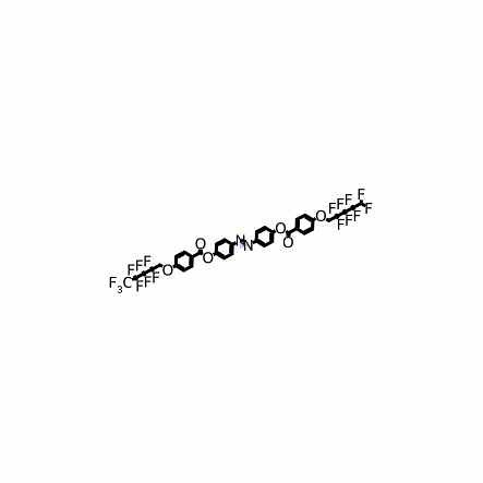 O=C(Oc1ccc(/N=N/c2ccc(OC(=O)c3ccc(OCC(F)(F)C(F)(F)C(F)(F)C(F)(F)F)cc3)cc2)cc1)c1ccc(OCC(F)(F)C(F)(F)C(F)(F)C(F)F)cc1